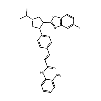 CC(C)N1CC(c2ccc(C=CC(=O)Nc3ccccc3N)cc2)C(c2nc3cc(F)ccc3[nH]2)C1